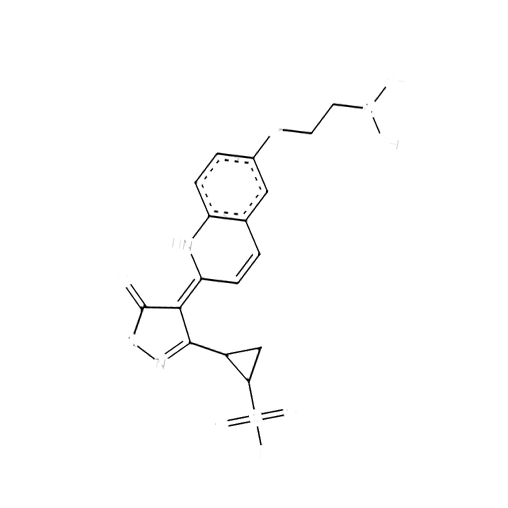 CCS(=O)(=O)C1CC1C1=NNC(=O)C1=C1C=Cc2cc(OCCN(C)C)ccc2N1